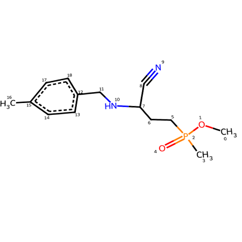 COP(C)(=O)CCC(C#N)NCc1ccc(C)cc1